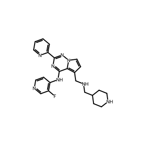 Fc1cnccc1Nc1nc(-c2ccccn2)nn2ccc(CNCC3CCNCC3)c12